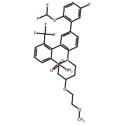 COCCOC1CCN(c2ccc(-c3cc(F)ccc3OC(F)F)cc2-c2c(C(F)(F)F)cccc2S(N)(=O)=O)CC1